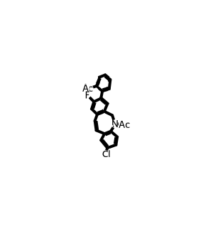 CC(=O)c1ccccc1-c1cc2c(cc1F)/C=C\c1cc(Cl)ccc1N(C(C)=O)C2